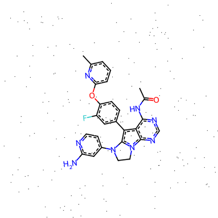 CC(=O)Nc1ncnc2c1c(-c1ccc(Oc3cccc(C)n3)c(F)c1)c1n2CCN1c1ccnc(N)c1